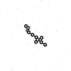 c1ccc(-c2ccc3c(c2)c2ccccc2c2c4ccc(-c5ccc(-c6ccc7oc8c9ccccc9ccc8c7c6)cc5)cc4c4ccccc4c32)cc1